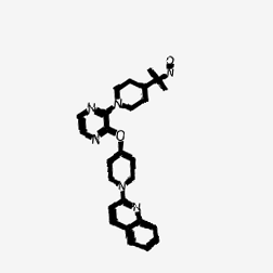 CC(C)(N=O)C1CCN(c2nccnc2OC2CCN(c3ccc4ccccc4n3)CC2)CC1